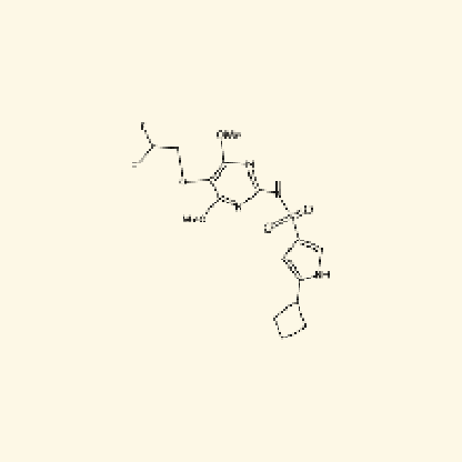 COc1nc(NS(=O)(=O)c2c[nH]c(C3CCC3)c2)nc(OC)c1OCC(F)F